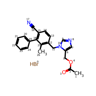 Br.CC(=O)OCc1cncn1Cc1ccc(C#N)c(-c2ccccc2)c1C